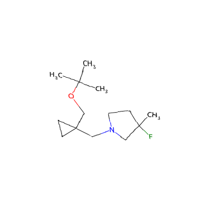 CC1(F)CCN(CC2(COC(C)(C)C)CC2)C1